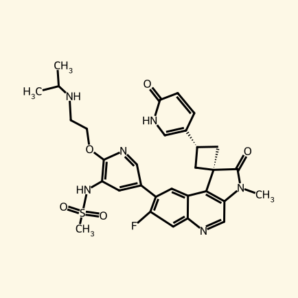 CC(C)NCCOc1ncc(-c2cc3c(cc2F)ncc2c3[C@]3(C[C@@H](c4ccc(=O)[nH]c4)C3)C(=O)N2C)cc1NS(C)(=O)=O